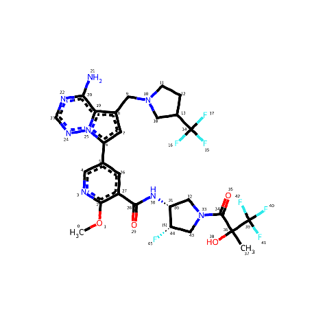 COc1ncc(-c2cc(CN3CCC(C(F)(F)F)C3)c3c(N)ncnn23)cc1C(=O)N[C@@H]1CN(C(=O)C(C)(O)C(F)(F)F)C[C@@H]1F